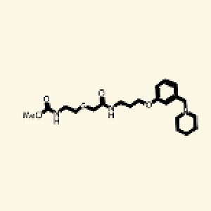 COC(=O)NCCSCC(=O)NCCCOc1cccc(CN2CCCCC2)c1